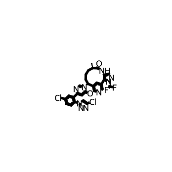 C[C@@H]1CCC[C@H](n2cnc(-c3cc(Cl)ccc3-n3cc(Cl)nn3)cc2=O)c2cncc(c2)-c2c(cnn2C(F)F)NC1=O